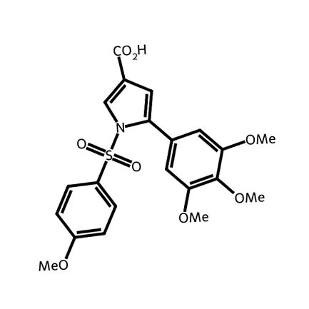 COc1ccc(S(=O)(=O)n2cc(C(=O)O)cc2-c2cc(OC)c(OC)c(OC)c2)cc1